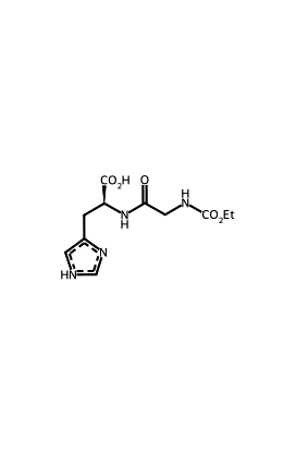 CCOC(=O)NCC(=O)N[C@@H](Cc1c[nH]cn1)C(=O)O